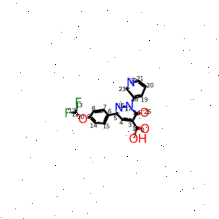 O=C(O)c1cc(-c2ccc(OC(F)F)cc2)nn(-c2cccnc2)c1=O